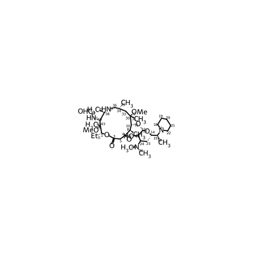 CC[C@H]1OC(=O)CC(=O)[C@H](C)[C@@H](O[C@@H]2O[C@H]([C@H](C)N3CCCCC3)CC(N(C)C)[C@H]2O)[C@](C)(OC)C[C@@H](C)CN[C@H](C)[C@@H](NC=O)[C@]1(C)OC